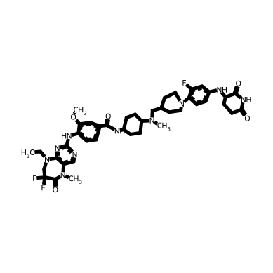 CCN1CC(F)(F)C(=O)N(C)c2cnc(Nc3ccc(C(=O)NC4CCC(N(C)CC5CCN(c6ccc(NC7CCC(=O)NC7=O)cc6F)CC5)CC4)cc3OC)nc21